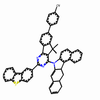 CC1(C)c2cc(-c3ccc(C#N)cc3)ccc2-c2nc(-c3ccc4sc5ccccc5c4c3)nc(N3C4=CC5=CC=CCC5CC4c4c3ccc3ccccc43)c21